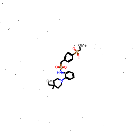 COCC1(C)CCN(c2ccccc2NS(=O)(=O)Cc2ccc(S(=O)(=O)COC)cc2)CC1